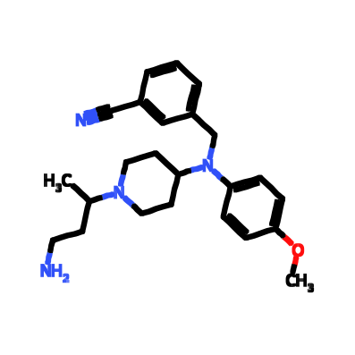 COc1ccc(N(Cc2cccc(C#N)c2)C2CCN(C(C)CCN)CC2)cc1